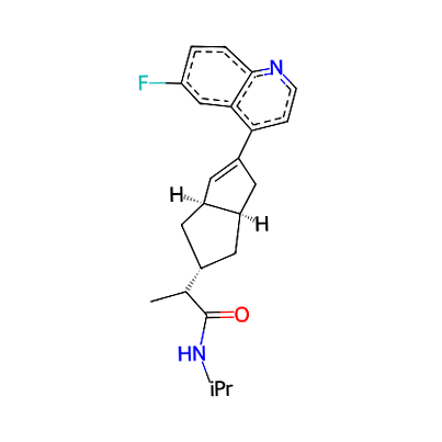 CC(C)NC(=O)C(C)[C@H]1C[C@@H]2CC(c3ccnc4ccc(F)cc34)=C[C@@H]2C1